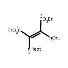 CCCCCCCC/C(C(=O)OCC)=C(\CCCCCCC)C(=O)OCC